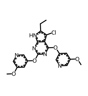 CCc1[nH]c2nc(Oc3cncc(OC)c3)nc(Oc3cncc(OC)c3)c2c1Cl